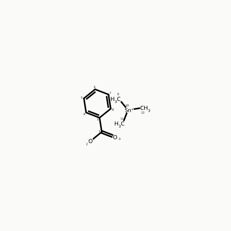 O=C([O-])c1ccccc1.[CH3][Sn+]([CH3])[CH3]